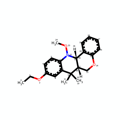 CCOc1ccc2c(c1)C(C)(C)[C@H]1COc3ccccc3[C@H]1N2OC